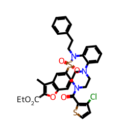 CCOC(=O)c1oc2ccc(S(=O)(=O)N(CCc3ccccc3)c3ccccc3N3CCN(C(=O)c4sccc4Cl)CC3)cc2c1C